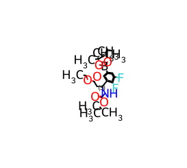 CCOC(=O)C[C@H](NC(=O)OC(C)(C)C)c1cc(B2OC(C)(C)C(C)(C)O2)cc(F)c1F